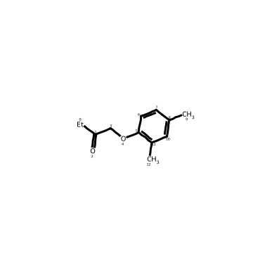 CCC(=O)COc1ccc(C)cc1C